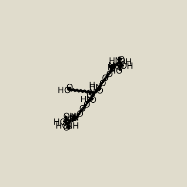 CC(=O)N[C@@H]1[C@@H](O)[C@@H](O)[C@@H](CO)O[C@@H]1Cc1cn(CCOCCOCCOCCNC(=O)CCC(CCC(=O)NCCOCCOCCOCCn2cc(C[C@H]3O[C@H](CO)[C@H](O)[C@H](O)[C@H]3NC(C)=O)nn2)NC(=O)CCCCCCCCCCC(=O)O)nn1